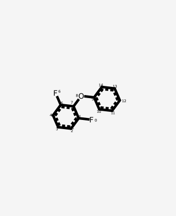 Fc1[c]ccc(F)c1Oc1ccccc1